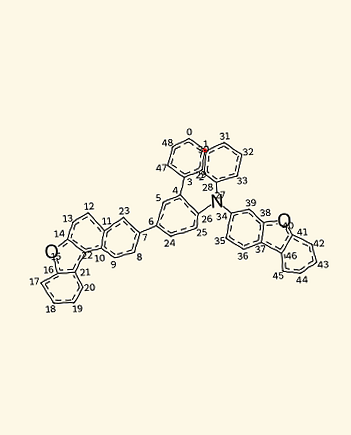 c1ccc(-c2cc(-c3ccc4c(ccc5oc6ccccc6c54)c3)ccc2N(c2ccccc2)c2ccc3c(c2)oc2ccccc23)cc1